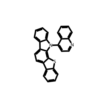 c1ccc2c(-n3c4ccccc4c4ccc5c6ccccc6sc5c43)ccnc2c1